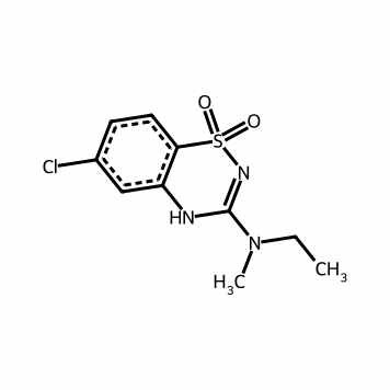 CCN(C)C1=NS(=O)(=O)c2ccc(Cl)cc2N1